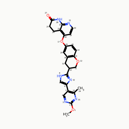 COc1ncc(-c2c[nH]c(C3COc4ccc(Oc5ccnc6c5CCC(=O)N6)cc4C3)n2)c(C)n1